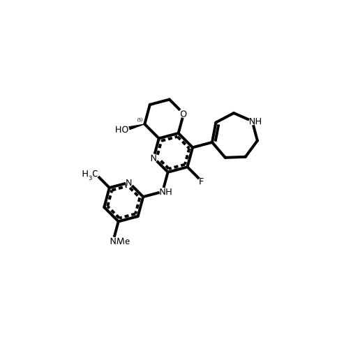 CNc1cc(C)nc(Nc2nc3c(c(C4=CCNCCC4)c2F)OCC[C@@H]3O)c1